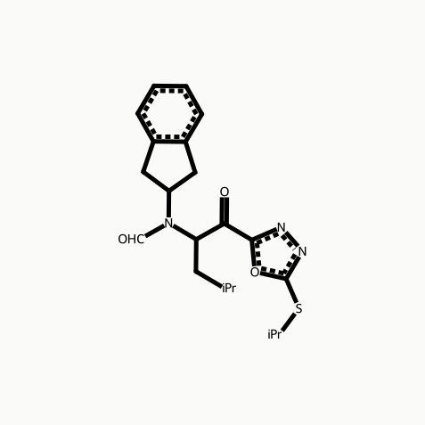 CC(C)CC(C(=O)c1nnc(SC(C)C)o1)N(C=O)C1Cc2ccccc2C1